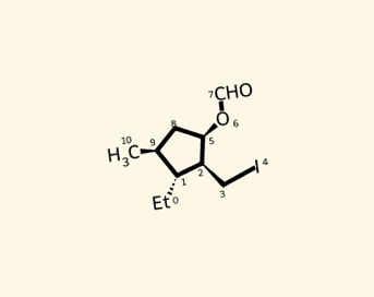 CC[C@H]1[C@H](CI)[C@H](OC=O)C[C@@H]1C